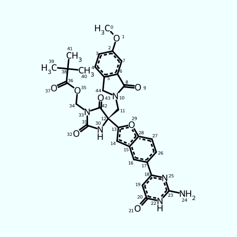 COc1ccc2c(c1)C(=O)N(C[C@@]1(c3cc4cc(-c5cc(=O)[nH]c(N)n5)ccc4o3)NC(=O)N(COC(=O)C(C)(C)C)C1=O)C2